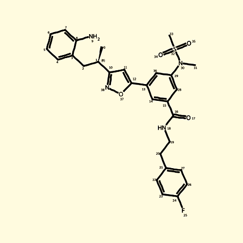 C[C@H](Cc1ccccc1N)c1cc(-c2cc(C(=O)NCCc3ccc(F)cc3)cc(N(C)S(C)(=O)=O)c2)on1